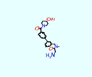 CN(Cc1cccc(-c2ccc(C(=O)N3CCC(O)CC3)cc2)c1)C(=O)CN